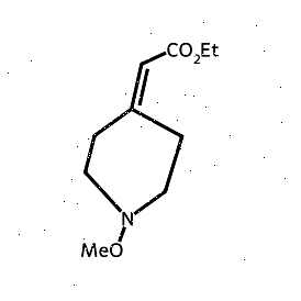 CCOC(=O)C=C1CCN(OC)CC1